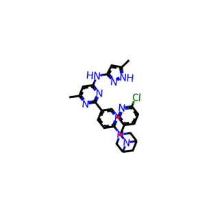 Cc1cc(Nc2cc(C)[nH]n2)nc(-c2ccc(N3CC4CC(C3)N4Cc3ccc(Cl)nc3)nc2)n1